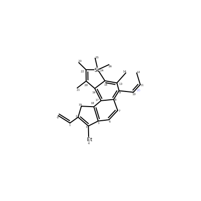 C=CC1=C(CC)c2ccc3c(/C=C\C)c(C)c4c(c3c2C1)C(C)=C(C)[Si]4(C)C